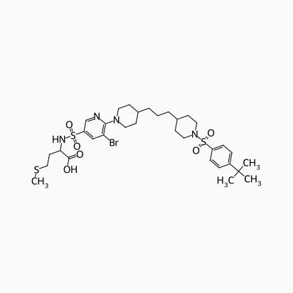 CSCCC(NS(=O)(=O)c1cnc(N2CCC(CCCC3CCN(S(=O)(=O)c4ccc(C(C)(C)C)cc4)CC3)CC2)c(Br)c1)C(=O)O